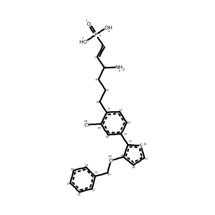 NC(C=CP(=O)(O)O)CCCc1ccc(-c2sccc2OCc2ccccc2)cc1Cl